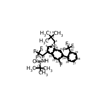 CC(C)(C)Cn1cc([C@H](N[S@@+]([O-])C(C)(C)C)C(F)(F)F)c2cc(F)c(-c3ccccc3C(F)(F)F)cc21